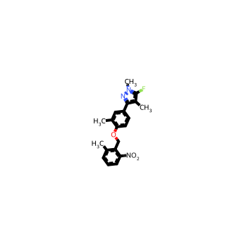 Cc1cc(-c2nn(C)c(F)c2C)ccc1OCc1c(C)cccc1[N+](=O)[O-]